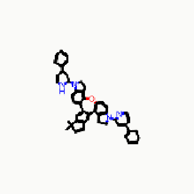 CC1(C)C=Cc2cc3c(cc21)-c1ccc2c(c1Oc1ccc4c(c1-3)CCN4c1cc(C3=CC=CCC3)ccn1)CCN2C1CC(c2ccccc2)C=CN1